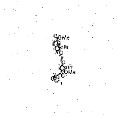 CCCc1c(OCCCOc2ccc(C(=O)COS(=O)(=O)C(F)(F)F)c(OC)c2CCC)ccc2c1OC(C(=O)OC)CC2